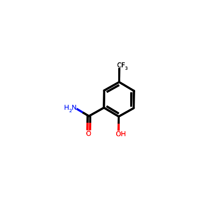 NC(=O)c1cc(C(F)(F)F)ccc1O